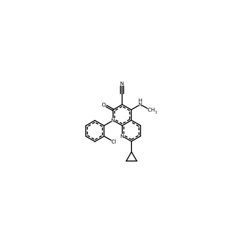 CNc1c(C#N)c(=O)n(-c2ccccc2Cl)c2nc(C3CC3)ccc12